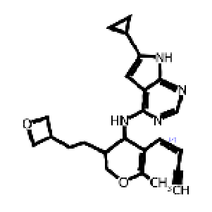 C#C/C=C\C1=C(C)OCC(CCC2COC2)C1Nc1ncnc2[nH]c(C3CC3)cc12